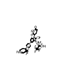 Cn1c(=O)n(C2CCC(=O)NC2=O)c2ccc(N3CCN(C4CCNCC4(F)F)CC3)cc21.O=C(O)C(F)(F)F